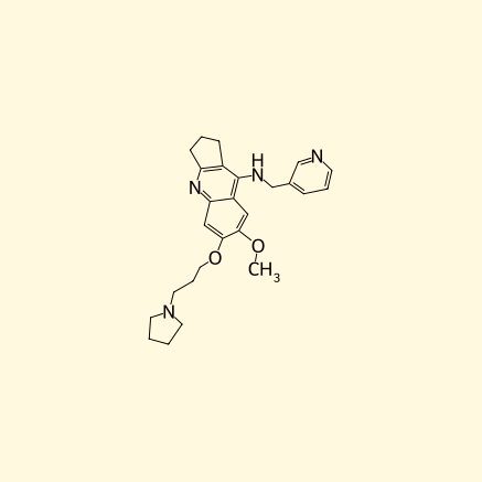 COc1cc2c(NCc3cccnc3)c3c(nc2cc1OCCCN1CCCC1)CCC3